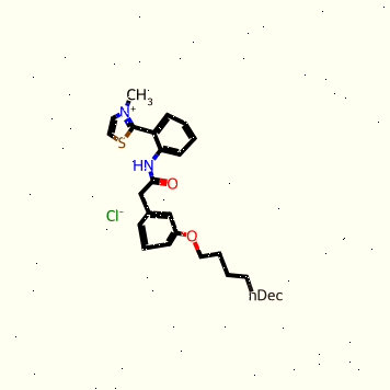 CCCCCCCCCCCCCCOc1cccc(CC(=O)Nc2ccccc2-c2scc[n+]2C)c1.[Cl-]